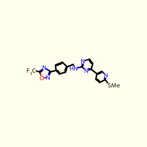 CSc1ccc(-c2ccnc(NCc3ccc(-c4noc(C(F)(F)F)n4)cc3)n2)cn1